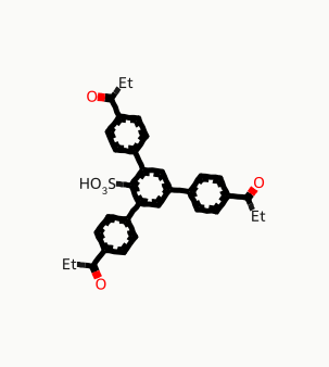 CCC(=O)c1ccc(-c2cc(-c3ccc(C(=O)CC)cc3)c(S(=O)(=O)O)c(-c3ccc(C(=O)CC)cc3)c2)cc1